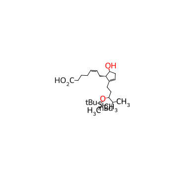 CCCCC(C)C(CCC1=CC[C@H](O)[C@@H]1C/C=C\CCCC(=O)O)O[Si](C)(C)C(C)(C)C